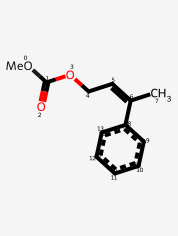 COC(=O)OC/C=C(/C)c1ccccc1